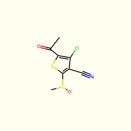 CC(=O)c1sc([S+](C)[O-])c(C#N)c1Cl